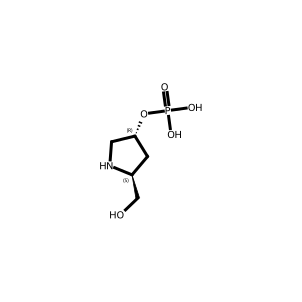 O=P(O)(O)O[C@H]1CN[C@H](CO)C1